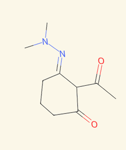 CC(=O)C1C(=O)CCCC1=NN(C)C